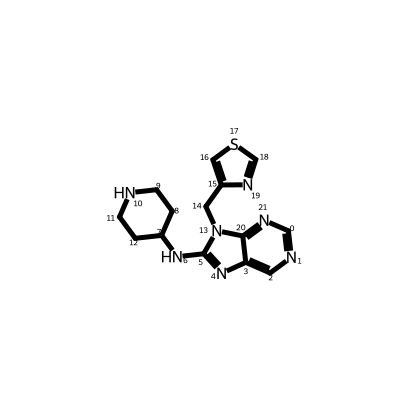 c1ncc2nc(NC3CCNCC3)n(Cc3cscn3)c2n1